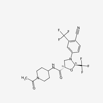 CC(=O)N1CCC(NC(=O)[C@@H]2CN(c3ccc(C#N)c(C(F)(F)F)c3)[C@@H](C(F)(F)F)O2)CC1